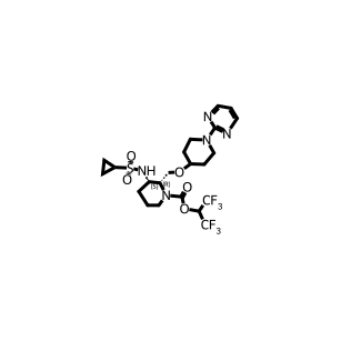 O=C(OC(C(F)(F)F)C(F)(F)F)N1CCC[C@H](NS(=O)(=O)C2CC2)[C@@H]1COC1CCN(c2ncccn2)CC1